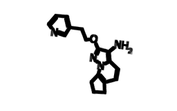 Nc1c(OCCc2cccnc2)nn2c3c(ccc12)CCC3